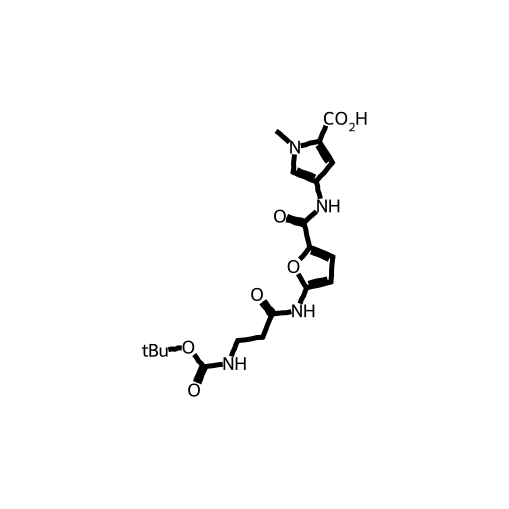 Cn1cc(NC(=O)c2ccc(NC(=O)CCNC(=O)OC(C)(C)C)o2)cc1C(=O)O